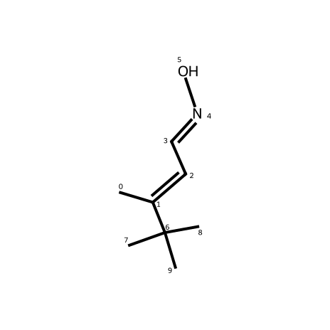 C/C(=C\C=N\O)C(C)(C)C